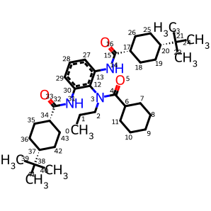 CCCN(C(=O)C1CCCCC1)c1c(NC(=O)[C@H]2CC[C@@H](C(C)(C)C)CC2)cccc1NC(=O)[C@H]1CC[C@@H](C(C)(C)C)CC1